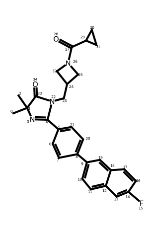 CC1(C)N=C(c2ccc(-c3ccc4cc(F)ccc4c3)cc2)N(CC2CN(C(=O)C3CC3)C2)C1=O